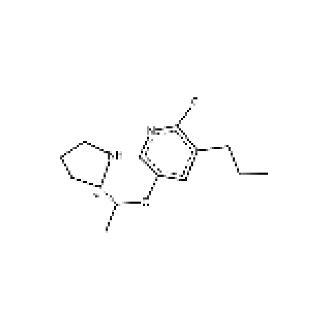 CCCc1cc(OC(C)[C@@H]2CCCN2)cnc1Cl